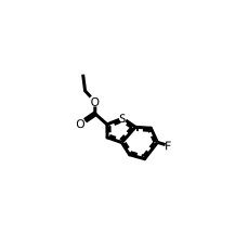 CCOC(=O)c1cc2ccc(F)cc2s1